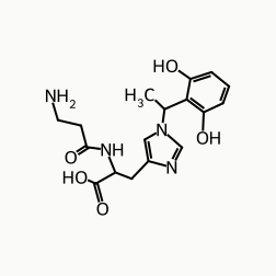 CC(c1c(O)cccc1O)n1cnc(CC(NC(=O)CCN)C(=O)O)c1